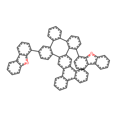 c1ccc2c(c1)-c1cc(-c3cccc4c3oc3ccccc34)ccc1-c1cc3c4ccccc4c4ccccc4c3cc1-c1c-2cccc1-c1cccc2c1oc1ccccc12